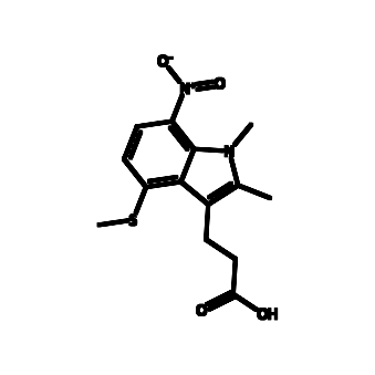 CSc1ccc([N+](=O)[O-])c2c1c(CCC(=O)O)c(C)n2C